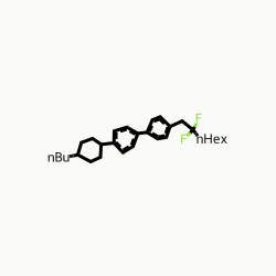 CCCCCCC(F)(F)Cc1ccc(-c2ccc(C3CCC(CCCC)CC3)cc2)cc1